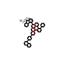 CC1(C)c2ccccc2-c2c(-c3ccc(N(c4ccc(-c5ccc(-c6cccc7ccccc67)cc5)cc4)c4cccc(-c5ccccc5)c4-c4ccccc4-c4ccccc4)cc3)cccc21